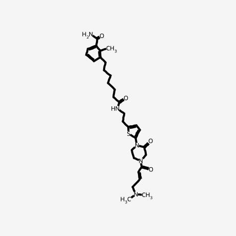 Cc1c(CCCCCCC(=O)NCCc2ccc(N3CCN(C(=O)C=CCN(C)C)CC3=O)s2)cccc1C(N)=O